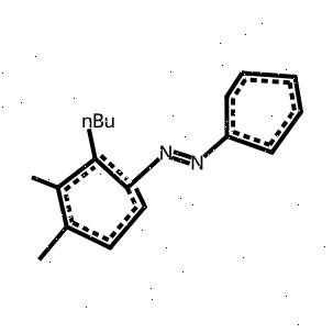 CCCCc1c(N=Nc2ccccc2)ccc(C)c1C